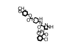 COc1ccc(OC(=O)N2CCC(NC(=O)c3n[nH]cc3NC(=O)c3c(Cl)cccc3Cl)CC2)cc1